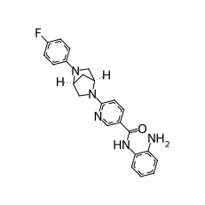 Nc1ccccc1NC(=O)c1ccc(N2C[C@@H]3C[C@H]2CN3c2ccc(F)cc2)nc1